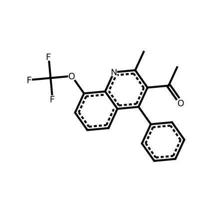 CC(=O)c1c(C)nc2c(OC(F)(F)F)cccc2c1-c1ccccc1